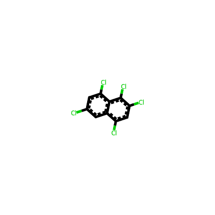 Clc1cc(Cl)c2c(Cl)c(Cl)cc(Cl)c2c1